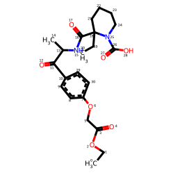 CCOC(=O)COc1ccc(C(=O)C(C)NC(=O)C2(CC)CCCCN2C(=O)O)cc1